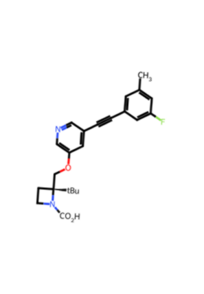 Cc1cc(F)cc(C#Cc2cncc(OC[C@@]3(C(C)(C)C)CCN3C(=O)O)c2)c1